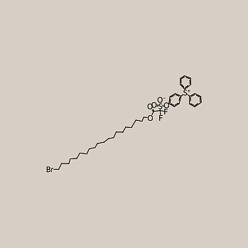 O=C(OCCCCCCCCCCCCCCCCCCCCBr)C(F)(F)S(=O)(=O)[O-].c1ccc([S+](c2ccccc2)c2ccccc2)cc1